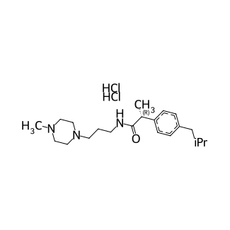 CC(C)Cc1ccc([C@@H](C)C(=O)NCCCN2CCN(C)CC2)cc1.Cl.Cl